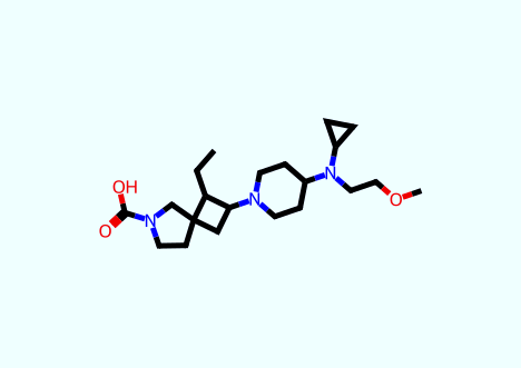 CCC1C(N2CCC(N(CCOC)C3CC3)CC2)CC12CCN(C(=O)O)C2